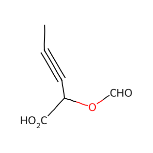 CC#CC(OC=O)C(=O)O